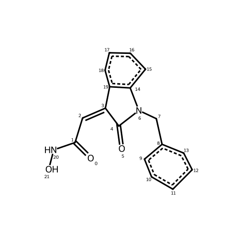 O=C(C=C1C(=O)N(Cc2ccccc2)c2ccccc21)NO